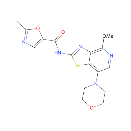 COc1ncc(N2CCOCC2)c2sc(NC(=O)c3cnc(C)o3)nc12